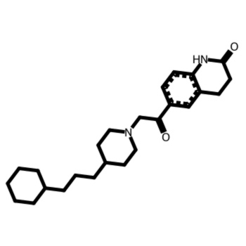 O=C1CCc2cc(C(=O)CN3CCC(CCCC4CCCCC4)CC3)ccc2N1